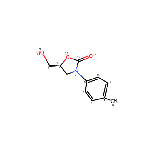 N#Cc1ccc(N2C[C@@H](CO)OC2=O)cc1